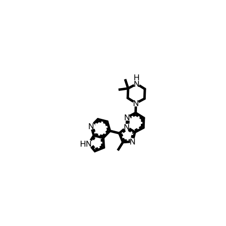 Cc1nc2ccc(N3CCNC(C)(C)C3)nn2c1-c1ccnc2[nH]ccc12